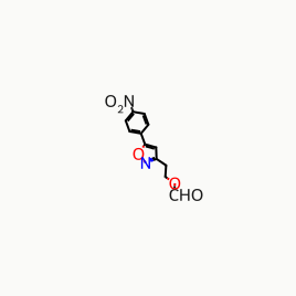 O=COCCc1cc(-c2ccc([N+](=O)[O-])cc2)on1